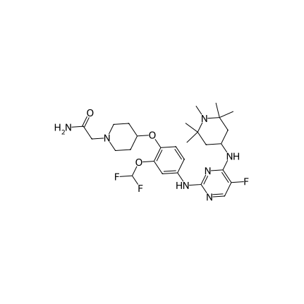 CN1C(C)(C)CC(Nc2nc(Nc3ccc(OC4CCN(CC(N)=O)CC4)c(OC(F)F)c3)ncc2F)CC1(C)C